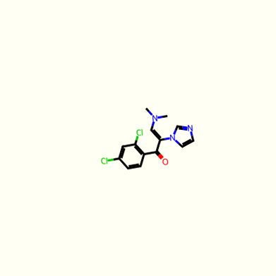 CN(C)/C=C(/C(=O)c1ccc(Cl)cc1Cl)n1ccnc1